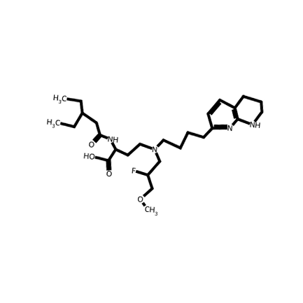 CCC(CC)CC(=O)NC(CCN(CCCCc1ccc2c(n1)NCCC2)CC(F)COC)C(=O)O